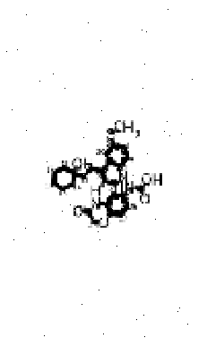 COc1ccc2nccc(CCC3(O)CCCCC3)c2c1.O=C(O)Nc1ccc2c(c1)NC(=O)CO2